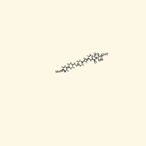 CCCC(C(=O)NC=O)N1C(=O)c2ccc(N3CC(N4CCN(CCC5CCN(c6ccc(NC)nc6)CC5)CC4)C3)cc2C1=O